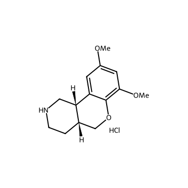 COc1cc(OC)c2c(c1)[C@H]1CNCC[C@H]1CO2.Cl